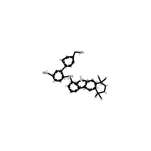 CC(C)Cc1ccc(-c2cc(C(C)(C)C)ccc2Nc2cccc3c2oc2cc4c(cc23)C(C)(C)CCC4(C)C)cc1